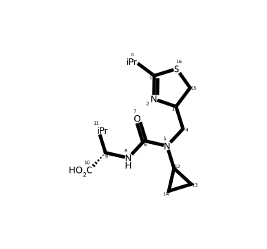 CC(C)C1=NC(CN(C(=O)N[C@H](C(=O)O)C(C)C)C2CC2)CS1